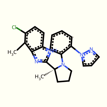 Cc1c(Cl)ccc2[nH]c([C@]3(C)CCCN3c3ccc[c]c3-n3cccn3)nc12